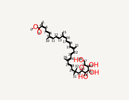 COC(=O)C(C)=CC=CC(C)=CC=CC(C)=CC=CC=C(C)C=CC=C(C)C=CCC(C)(C)CC1OC(CO)C(O)C(O)C1O